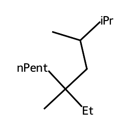 [CH2]C(C)C(C)CC(C)(CC)CCCCC